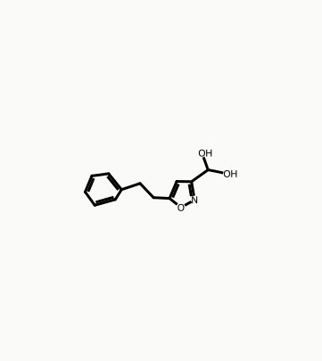 OC(O)c1cc(CCc2ccccc2)on1